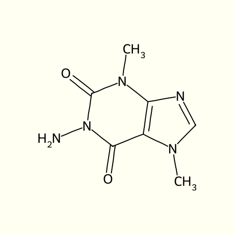 Cn1cnc2c1c(=O)n(N)c(=O)n2C